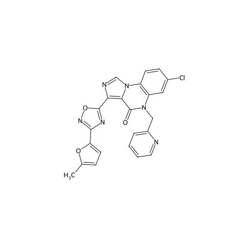 Cc1ccc(-c2noc(-c3ncn4c3c(=O)n(Cc3ccccn3)c3cc(Cl)ccc34)n2)o1